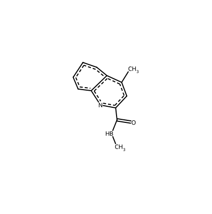 CBC(=O)c1cc(C)c2ccccc2n1